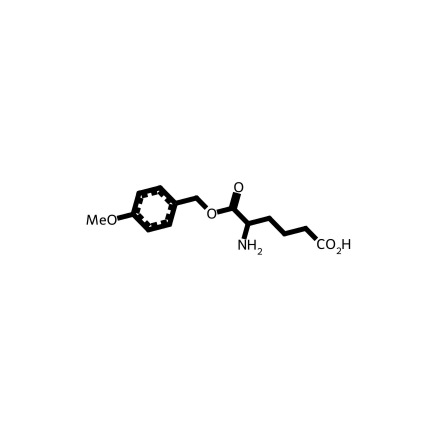 COc1ccc(COC(=O)C(N)CCCC(=O)O)cc1